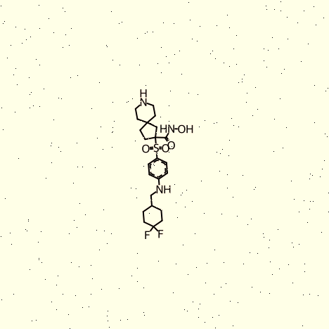 O=C(NO)C1(S(=O)(=O)c2ccc(NCC3CCC(F)(F)CC3)cc2)CCC2(CCNCC2)C1